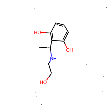 CC(NCCO)c1c(O)cccc1O